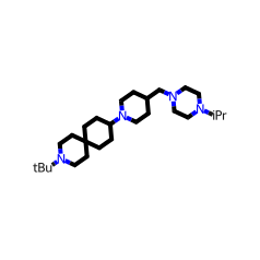 CC(C)N1CCN(CC2CCN(C3CCC4(CC3)CCN(C(C)(C)C)CC4)CC2)CC1